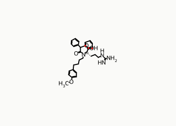 COc1ccc(CCCCN(C(=O)C(c2ccccc2)c2ccccc2)[C@@H](CCCNC(=N)N)C(=O)O)cc1